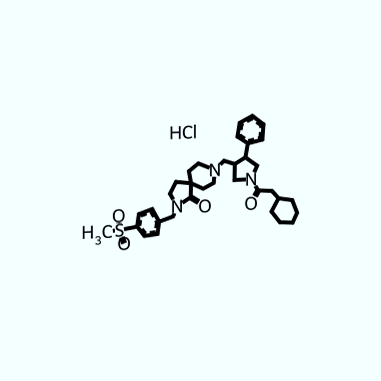 CS(=O)(=O)c1ccc(CN2CCC3(CCN(CC4CN(C(=O)CC5CCCCC5)CC4c4ccccc4)CC3)C2=O)cc1.Cl